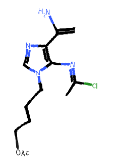 C=C(N)c1ncn(CCCCOC(C)=O)c1/N=C(\C)Cl